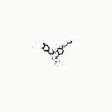 Nc1nc2c3ccc(NCCCO)cc3nc(Cc3ccc(O)c(O)c3)n2n1